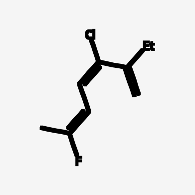 C=C(CC)/C(Cl)=C\C=C(/C)F